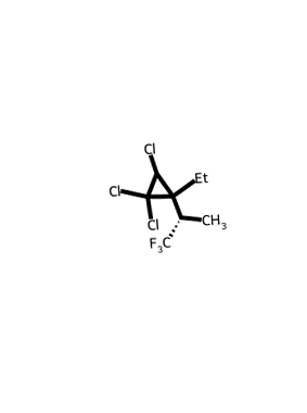 CCC1([C@H](C)C(F)(F)F)C(Cl)C1(Cl)Cl